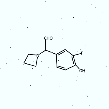 O=CC(c1ccc(O)c(F)c1)N1CCC1